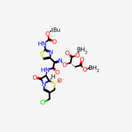 BOC(=O)C[C@H](O/N=C(\C(=O)N[C@@H]1C(=O)N2C=C(CCl)C[S+]([O-])[C@H]12)c1csc(NC(=O)OC(C)(C)C)n1)C(=O)OB